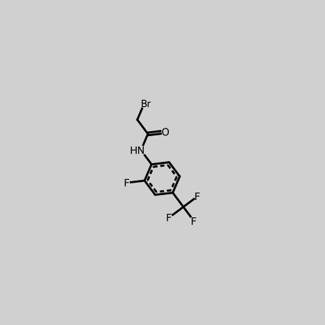 O=C(CBr)Nc1ccc(C(F)(F)F)cc1F